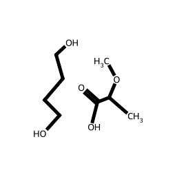 COC(C)C(=O)O.OCCCCO